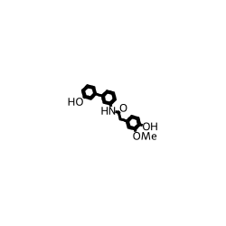 COc1cc(CC(=O)Nc2cccc(-c3cccc(O)c3)c2)ccc1O